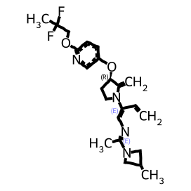 C=C/C(=C\N=C(/C)N1CC(C)C1)N1CC[C@@H](Oc2ccc(OCC(C)(F)F)nc2)C1=C